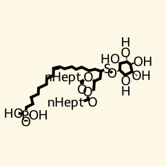 CCCCCCCC(=O)OCC(CC(CCCCCC/C=C\CCCCCCCCP(=O)(O)O)SO[C@@H]1[C@@H](O)[C@H](O)[C@@H](O)[C@H](O)[C@@H]1O)OC(=O)CCCCCCC